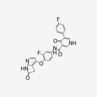 O=C1Cc2c(Oc3ccc(NC(=O)c4c[nH]cc(-c5ccc(F)cc5)c4=O)cc3F)ccnc2N1